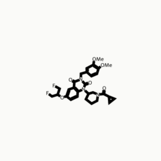 COc1ccc(Cn2c(=O)c3cc(OC(CF)CF)ccc3n(C3CCCN(C(=O)C4CC4)C3)c2=O)cc1OC